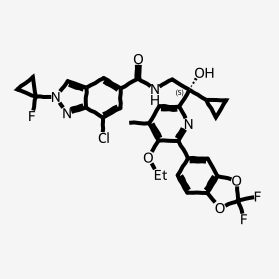 CCOc1c(C)cc([C@@](O)(CNC(=O)c2cc(Cl)c3nn(C4(F)CC4)cc3c2)C2CC2)nc1-c1ccc2c(c1)OC(F)(F)O2